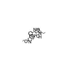 CCCNC(=O)c1c(N)c2cccc(-c3cc(OCC)ncc3F)c2[nH]c1=O